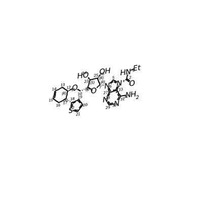 CCNC(=O)[n+]1cn([C@@H]2O[C@H](CO[C@@H]3CC=CC[C@H]3c3cccs3)[C@@H](O)[C@H]2O)c2ncnc(N)c21